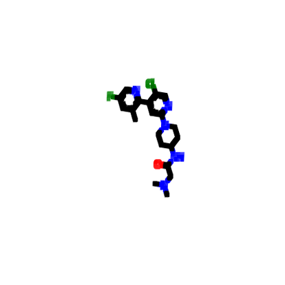 Cc1cc(F)cnc1-c1cc(N2CCC(NC(=O)CN(C)C)CC2)ncc1Cl